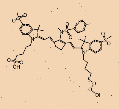 Cc1ccc(S(=O)(=O)N(C)C2=C(/C=C/C3=[N+](CCCCSOOO)c4ccc(S(C)(=O)=O)cc4C3(C)C)CC/C2=C\C=C2\N(CCCCS(=O)(=O)O)c3ccc(S(C)(=O)=O)cc3C2(C)C)cc1